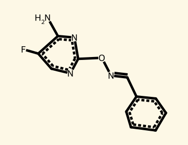 Nc1nc(ON=Cc2ccccc2)ncc1F